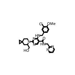 COc1ccc(CNc2nc(N3CCC4(CC4)CC3CO)ncc2C(=O)NCc2ncccn2)cc1Cl